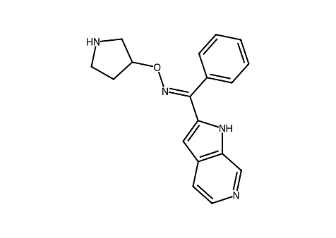 c1ccc(C(=NOC2CCNC2)c2cc3ccncc3[nH]2)cc1